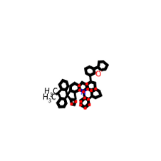 CC1(C)c2ccccc2C2(c3ccccc3-c3c(N(c4cccc(-c5cccc6c5oc5ccccc56)c4)c4ccccc4-c4ccccc4-c4ccccc4-c4ccccc4)cccc32)c2ccccc21